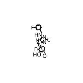 [O]C[C@H]1O[C@@H](n2cnc3c(NCc4cccc(F)c4)nc(Cl)nc32)[C@@H](F)[C@@H]1O